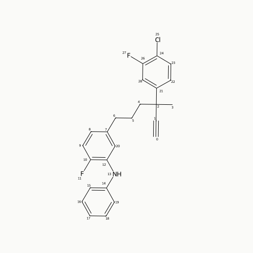 C#CC(C)(CCCc1ccc(F)c(Nc2ccccc2)c1)c1ccc(Cl)c(F)c1